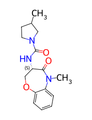 CC1CCN(C(=O)N[C@H]2COc3ccccc3N(C)C2=O)C1